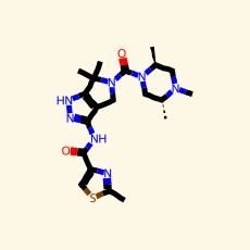 Cc1nc(C(=O)Nc2n[nH]c3c2CN(C(=O)N2C[C@@H](C)N(C)C[C@@H]2C)C3(C)C)cs1